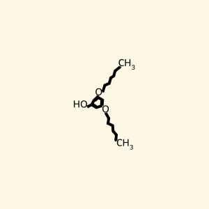 CCCCCCCCOc1cc(CO)cc(OCCCCCCCC)c1